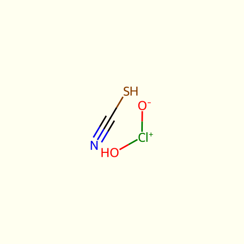 N#CS.[O-][Cl+]O